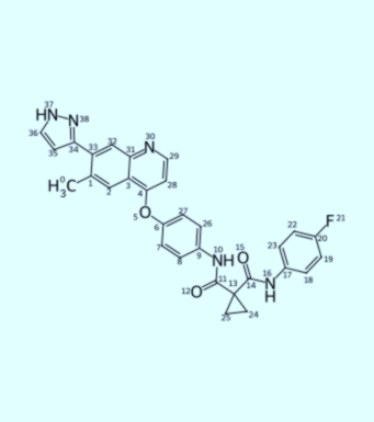 Cc1cc2c(Oc3ccc(NC(=O)C4(C(=O)Nc5ccc(F)cc5)CC4)cc3)ccnc2cc1-c1cc[nH]n1